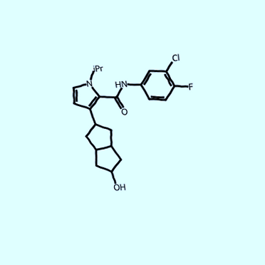 CC(C)n1ccc(C2CC3CC(O)CC3C2)c1C(=O)Nc1ccc(F)c(Cl)c1